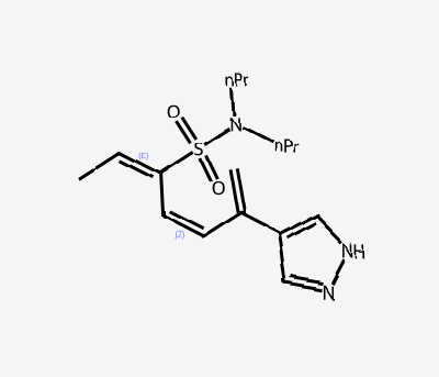 C=C(/C=C\C(=C/C)S(=O)(=O)N(CCC)CCC)c1cn[nH]c1